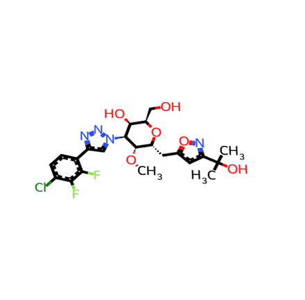 CO[C@@H]1[C@@H](n2cc(-c3ccc(Cl)c(F)c3F)nn2)[C@@H](O)[C@@H](CO)O[C@@H]1Cc1cc(C(C)(C)O)no1